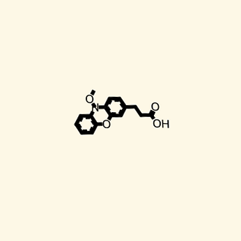 CON1c2ccccc2Oc2cc(CCC(=O)O)ccc21